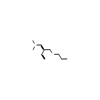 C=C/C(=C\N(C)C)CNCCC